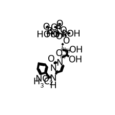 C[C@@H](Nc1ccn([C@@H]2O[C@H](COP(=O)(O)OP(=O)(O)OP(=O)(O)O)[C@H](O)C2O)c(=O)n1)c1ccccc1[N+](=O)[O-]